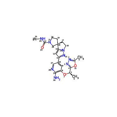 Cc1nnc([C@@H](C)Oc2cc(-c3cc4n(n3)CC[C@@]43CCN(C(=O)NC(C)C)C3)cnc2N)o1